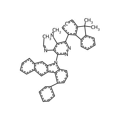 C=Nc1c(-c2cccc3c2-c2ccccc2C3(C)C)nnc(-n2c3cc4ccccc4cc3c3c(-c4ccccc4)cccc32)c1/N=C\C